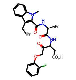 CC(C)Cc1c(C(=O)N[C@H](C(=O)NC(CC(=O)O)C(=O)COc2ccccc2F)C(C)C)n(C)c2ccccc12